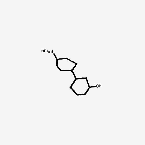 CCCCCC1CCC(C2CCCC(O)C2)CC1